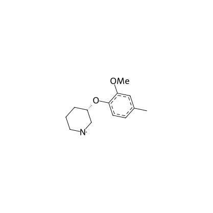 COc1cc(C)ccc1O[C@H]1CCC[N]C1